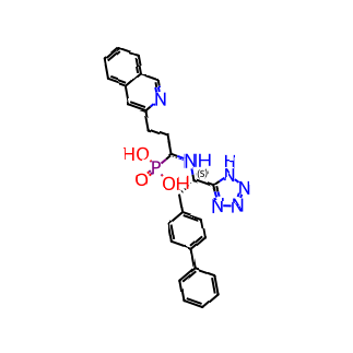 O=P(O)(O)C(CCc1cc2ccccc2cn1)N[C@@H](Cc1ccc(-c2ccccc2)cc1)c1nnn[nH]1